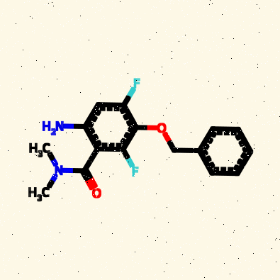 CN(C)C(=O)c1c(N)cc(F)c(OCc2ccccc2)c1F